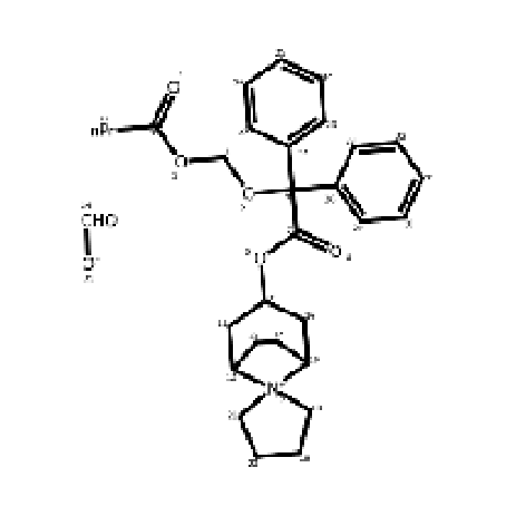 CCCC(=O)OCOC(C(=O)OC1CC2CCC(C1)[N+]21CCCC1)(c1ccccc1)c1ccccc1.O=C[O-]